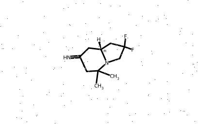 CC1(C)CC(=N)C[C@@H]2CC(F)(F)CN21